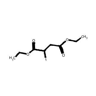 CCOC(=O)CC(I)C(=O)OCC